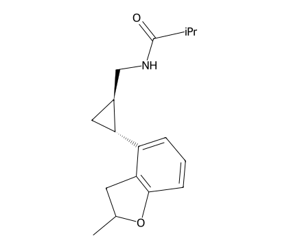 CC1Cc2c(cccc2[C@@H]2C[C@H]2CNC(=O)C(C)C)O1